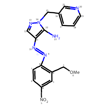 COCc1cc([N+](=O)[O-])ccc1/N=N/c1cnn(Cc2cccnc2)c1N